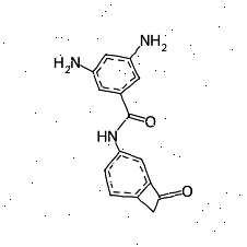 Nc1cc(N)cc(C(=O)Nc2ccc3c(c2)C(=O)C3)c1